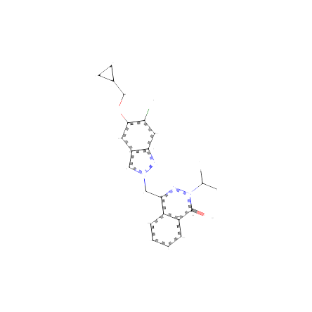 CCOC(=O)C(C)n1nc(Cn2cc3cc(OCC4CC4)c(Cl)cc3n2)c2ccccc2c1=O